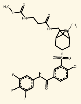 COC(=O)NCCC(=O)NC[C@@]1(O)C2C[C@@H](S(=O)(=O)c3cc(C(=O)Nc4cc(F)c(F)c(F)c4)ccc3Cl)CC1[C@@H](C)C2